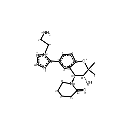 CC1(C)Oc2ccc(-c3nnnn3CCN)cc2[C@H](N2CCCCC2=O)[C@H]1O